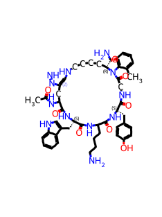 CC(=O)NC1C/C(N=N)=C/NCCCC[C@H](C(N)=O)N(c2ccccc2C)C(=O)CNC(=O)[C@H](Cc2ccc(O)cc2)NC(=O)C(CCCCN)NC(=O)[C@H](Cc2c[nH]c3ccccc23)NC1=O